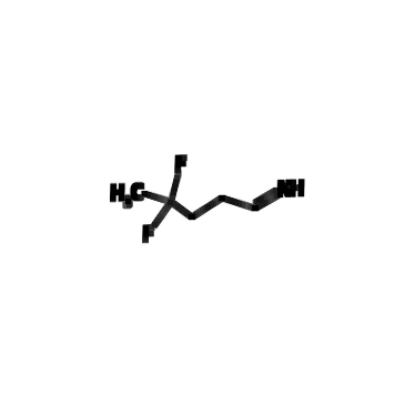 CC(F)(F)CCC=N